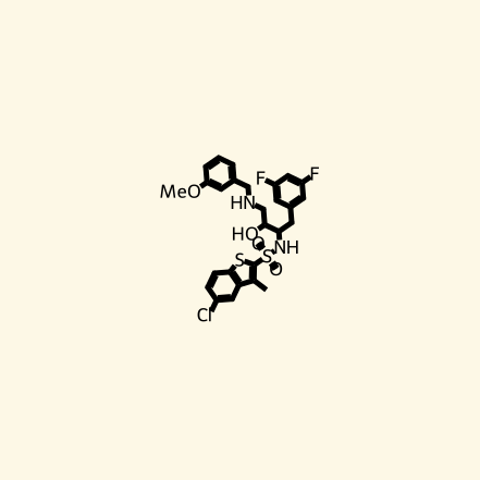 COc1cccc(CNCC(O)C(Cc2cc(F)cc(F)c2)NS(=O)(=O)c2sc3ccc(Cl)cc3c2C)c1